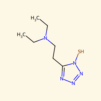 CCN(CC)CCc1nnnn1S